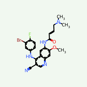 COc1cc2ncc(C#N)c(Nc3ccc(F)c(Br)c3)c2cc1NC(=O)C=CCN(C)C